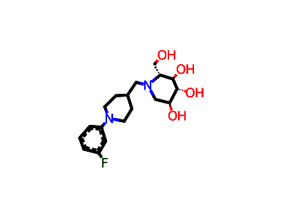 OC[C@@H]1[C@@H](O)[C@H](O)[C@@H](O)CN1CC1CCN(c2cccc(F)c2)CC1